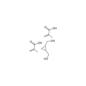 C=C(C)C(=O)O.C=C(C)C(=O)O.OCC1CC1CO